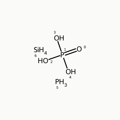 O=P(O)(O)O.P.[SiH4]